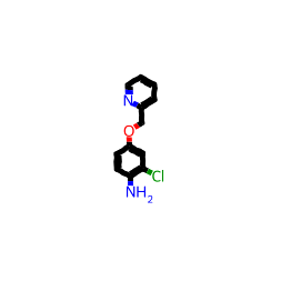 Nc1ccc(OCc2ccccn2)cc1Cl